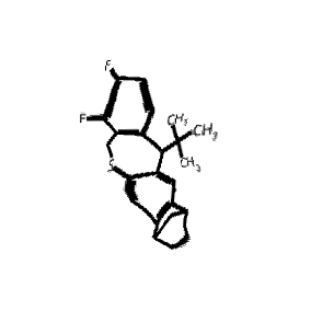 CC(C)(C)C1c2cc3c(cc2SCc2c1ccc(F)c2F)C1CCC3CC1